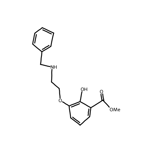 COC(=O)c1cccc(OCCNCc2ccccc2)c1O